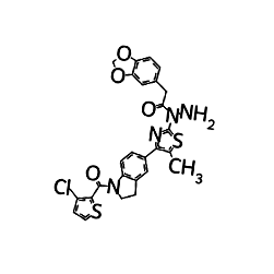 Cc1sc(N(N)C(=O)Cc2ccc3c(c2)OCO3)nc1-c1ccc2c(c1)CCN2C(=O)c1sccc1Cl